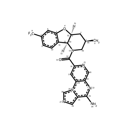 C[C@@H]1C[C@@H]2Oc3cc(C(F)(F)F)ccc3[C@@H]2N(C(=O)c2cc3c(cn2)nc(N)c2cncn23)C1